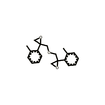 Cc1ccccc1C1(COCC2(c3ccccc3C)CO2)CO1